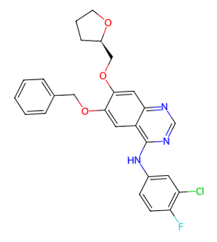 Fc1ccc(Nc2ncnc3cc(OC[C@H]4CCCO4)c(OCc4ccccc4)cc23)cc1Cl